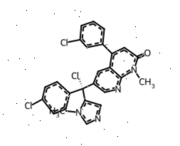 Cn1cncc1[C@@](Cl)(c1ccc(Cl)cc1)c1cnc2c(c1)c(-c1cccc(Cl)c1)cc(=O)n2C